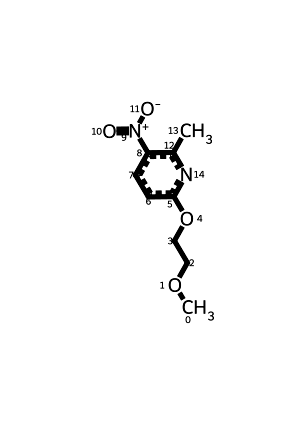 COCCOc1ccc([N+](=O)[O-])c(C)n1